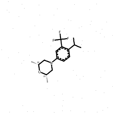 CC(C)c1ccc(N2C[C@@H](C)O[C@@H](C)C2)cc1C(F)(F)F